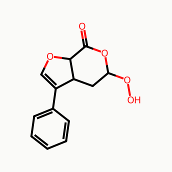 O=C1OC(OO)CC2C(c3ccccc3)=COC12